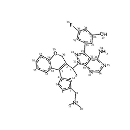 CC(C1=C(c2ccc(CN(C)C)s2)c2ccccc2OC1)n1nc(-c2cc(O)cc(F)c2)c2c(N)ncnc21